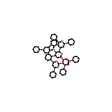 c1ccc(-c2ccc3c(c2)c2ccccc2n3-c2c(-c3ccccc3-c3cc(-c4ccccc4)nc(-c4ccccc4)n3)cc(-c3cc(-c4ccccc4)nc(-c4ccccc4)c3)nc2-c2cc(-c3ccccc3)nc(-c3ccccc3)c2)cc1